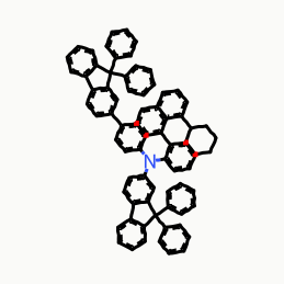 c1ccc(C2(c3ccccc3)c3ccccc3-c3ccc(-c4ccc(N(c5ccc6c(c5)C(c5ccccc5)(c5ccccc5)c5ccccc5-6)c5ccccc5-c5cccc6cccc(C7CCCCC7)c56)cc4)cc32)cc1